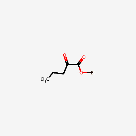 O=C(CCC(Cl)(Cl)Cl)C(=O)OBr